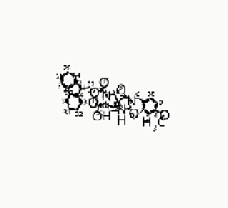 COc1ccc(CN2C(=O)N[C@]3(C[C@@H](C(=O)O)N(C(=O)OCC4c5ccccc5-c5ccccc54)C3)C2=O)cc1